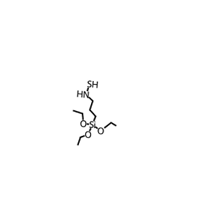 CCO[Si](CCCNS)(OCC)OCC